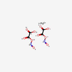 O=NOC(=O)C(=O)[O-].O=NOC(=O)C(=O)[O-].[Pd+2]